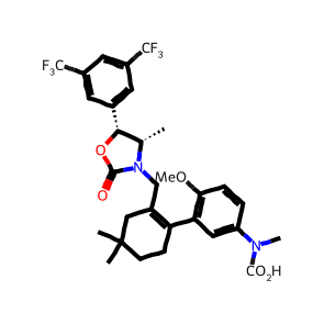 COc1ccc(N(C)C(=O)O)cc1C1=C(CN2C(=O)O[C@H](c3cc(C(F)(F)F)cc(C(F)(F)F)c3)[C@@H]2C)CC(C)(C)CC1